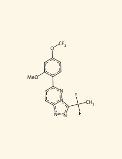 COc1cc(OC(F)(F)F)ccc1-c1ccc2nnc(C(C)(F)F)n2n1